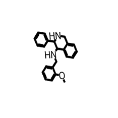 COc1ccccc1CNC1c2ccccc2CNC1c1ccccc1